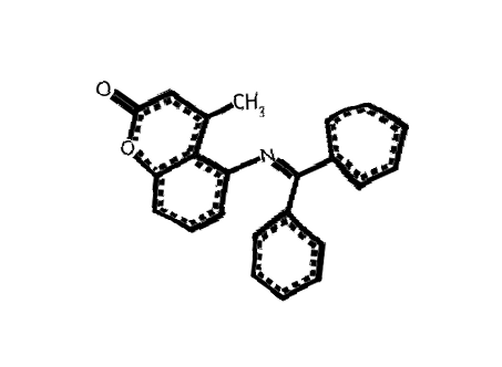 Cc1cc(=O)oc2cccc(N=C(c3ccccc3)c3ccccc3)c12